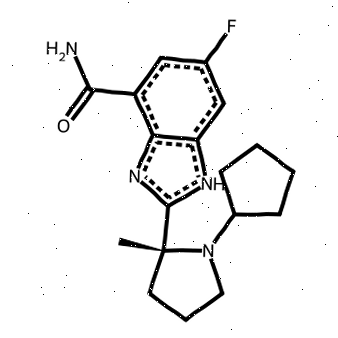 C[C@]1(c2nc3c(C(N)=O)cc(F)cc3[nH]2)CCCN1C1CCCC1